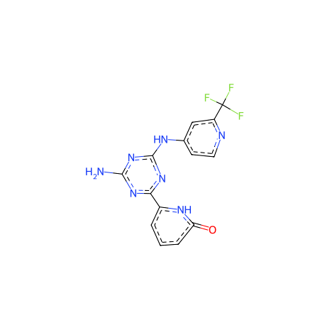 Nc1nc(Nc2ccnc(C(F)(F)F)c2)nc(-c2cccc(=O)[nH]2)n1